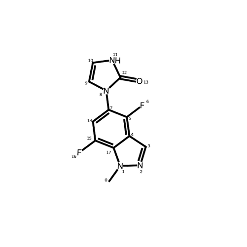 Cn1ncc2c(F)c(-n3cc[nH]c3=O)cc(F)c21